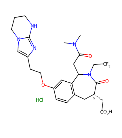 CN(C)C(=O)CC1c2cc(OCCc3cn4c(n3)NCCC4)ccc2C[C@@H](CC(=O)O)C(=O)N1CC(F)(F)F.Cl